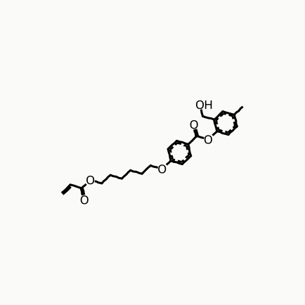 C=CC(=O)OCCCCCCOc1ccc(C(=O)Oc2ccc(C)cc2CO)cc1